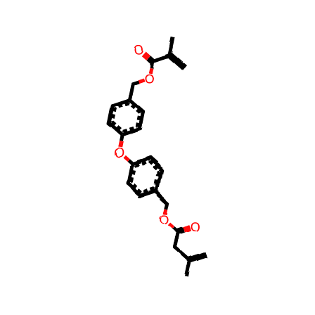 C=C(C)CC(=O)OCc1ccc(Oc2ccc(COC(=O)C(=C)C)cc2)cc1